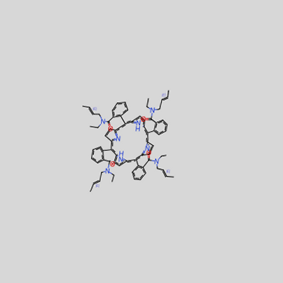 C/C=C/CN(CC)C(=O)c1ccccc1-c1c2nc(c(-c3ccccc3C(=O)N(CC)C/C=C/C)c3ccc([nH]3)c(-c3ccccc3C(=O)N(CC)C/C=C/C)c3nc(c(-c4ccccc4C(=O)N(CC)C/C=C/C)c4ccc1[nH]4)C=C3)C=C2